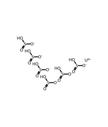 O=S([O-])O.O=S([O-])O.O=S([O-])O.O=S([O-])O.O=S([O-])O.O=S([O-])O.[U+6]